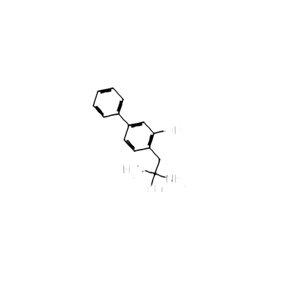 CCCC(N)(N)Cc1ccc(-c2ccccc2)cc1O